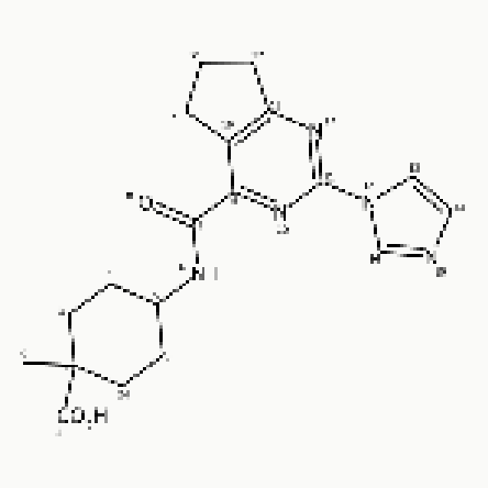 CC1(C(=O)O)CCC(NC(=O)c2nc(-n3ccnc3)nc3c2CCC3)CC1